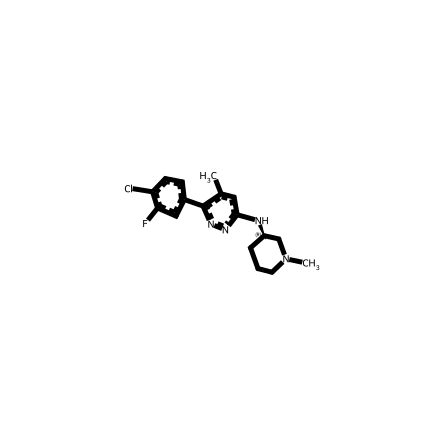 Cc1cc(N[C@@H]2CCCN(C)C2)nnc1-c1ccc(Cl)c(F)c1